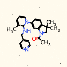 CC(=O)N1CC(C)(C)c2ccc(N3C=CC=C(C)C3NCc3ccncc3)cc21